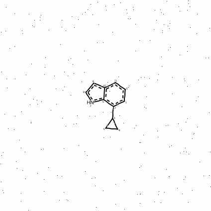 c1cc(C2CC2)c2[nH]ccc2c1